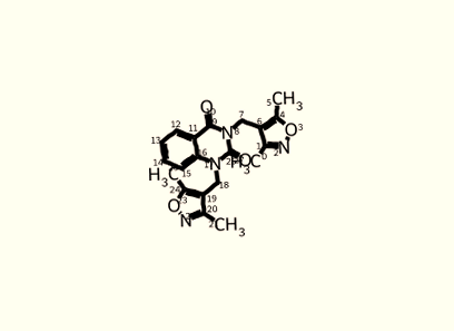 Cc1noc(C)c1Cn1c(=O)c2ccccc2n(Cc2c(C)noc2C)c1=O